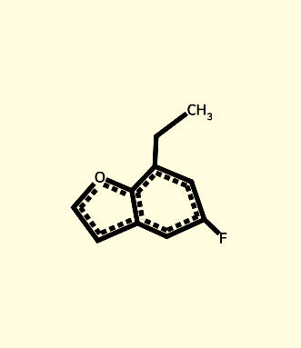 CCc1cc(F)cc2ccoc12